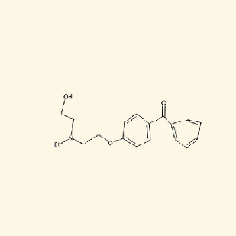 CCN(CCO)CCOc1ccc(C(=O)c2ccccc2)cc1